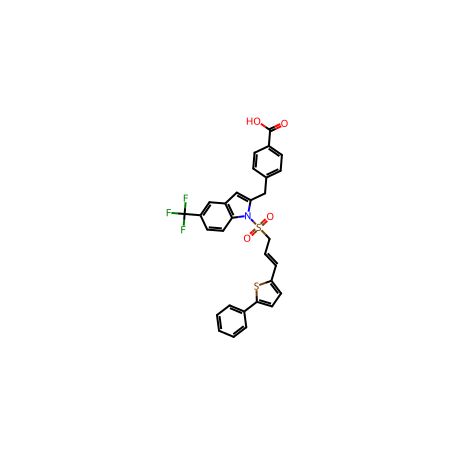 O=C(O)c1ccc(Cc2cc3cc(C(F)(F)F)ccc3n2S(=O)(=O)CC=Cc2ccc(-c3ccccc3)s2)cc1